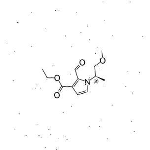 CCOC(=O)c1ccn([C@H](C)COC)c1C=O